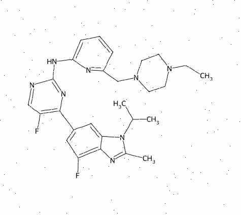 CCN1CCN(Cc2cccc(Nc3ncc(F)c(-c4cc(F)c5nc(C)n(C(C)C)c5c4)n3)n2)CC1